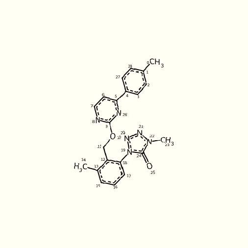 Cc1ccc(-c2ccnc(OCc3c(C)cccc3-n3nnn(C)c3=O)n2)cc1